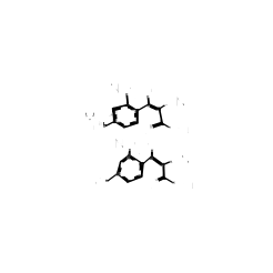 CCC(C)C(=O)C(C#N)=C([O-])c1ccc(Cl)cc1[N+](=O)[O-].CCC(C)C(=O)C(C#N)=C([O-])c1ccc(Cl)cc1[N+](=O)[O-].[Mg+2]